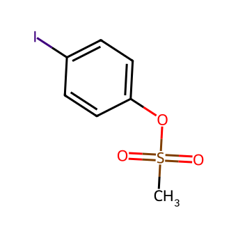 CS(=O)(=O)Oc1ccc(I)cc1